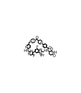 Cc1nc2c(F)cc(-c3nc(Nc4ccc(CN5CCN(C(=O)C6CCN(c7ccc(C(=O)NC8CCC(=O)NC8=O)cc7)CC6)CC5)cn4)ncc3F)cc2n1C(C)C